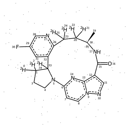 [2H]C1([2H])CCN2c3ccn4ncc(c4n3)C(=O)N[C@H](C)C([2H])([2H])C([2H])([2H])c3ncc(F)cc3C21[2H]